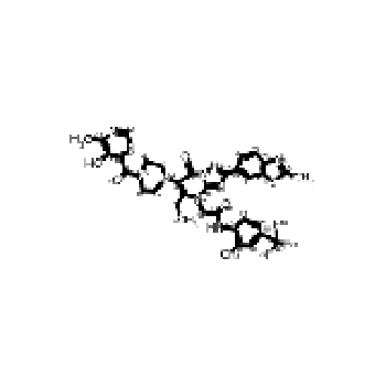 CCc1c(N2CCN(C(=O)c3ncnc(C)c3O)CC2)c(=O)n2nc(-c3ccc4nc(C)sc4c3)nc2n1CC(=O)Nc1ccc(C(F)(F)F)cc1Cl